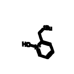 CC(C)(C)Cc1cccc[n+]1O